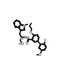 CCCOc1ccc(-c2cc(OC)ccc2F)cc1C(=O)N[C@@H](CO)Cc1cn(C)c2ccccc12